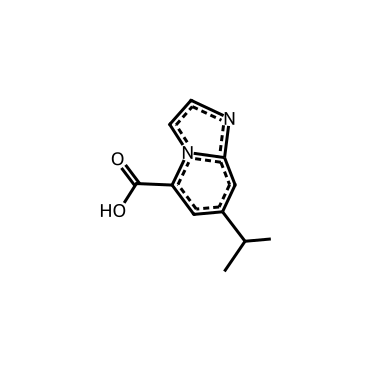 CC(C)c1cc(C(=O)O)n2ccnc2c1